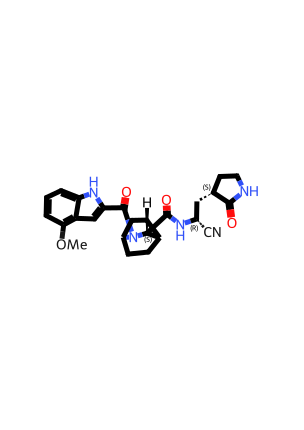 COc1cccc2[nH]c(C(=O)N3C4CCC(CC4)[C@H]3C(=O)N[C@@H](C#N)C[C@@H]3CCNC3=O)cc12